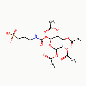 CC(=O)O[C@H]1OC(OC(=O)NCCCS(=O)(=O)O)[C@H](OC(C)=O)[C@@H](OC(C)=O)[C@@H]1OC(C)=O